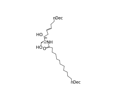 CCCCCCCCCCCCC=CC[C@@H](O)[C@H](CO)NC(=O)CCCCCCCCCCCCCCCCCCCCC